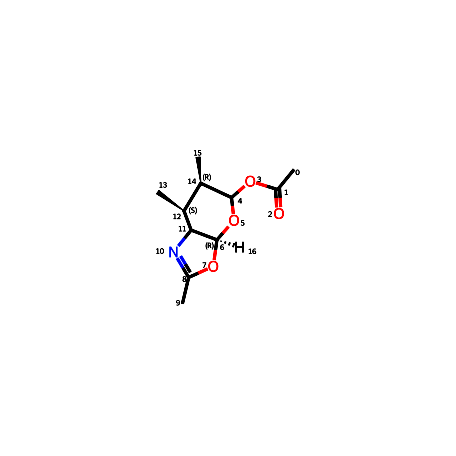 CC(=O)OC1O[C@H]2OC(C)=NC2[C@@H](C)[C@H]1C